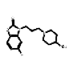 CCCCC1CCN(CCCn2c(=O)oc3ccc(F)cc32)CC1